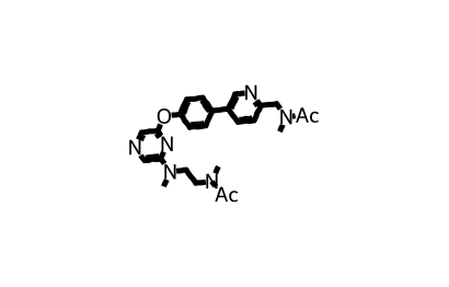 CC(=O)N(C)CCN(C)c1cncc(Oc2ccc(-c3ccc(CN(C)C(C)=O)nc3)cc2)n1